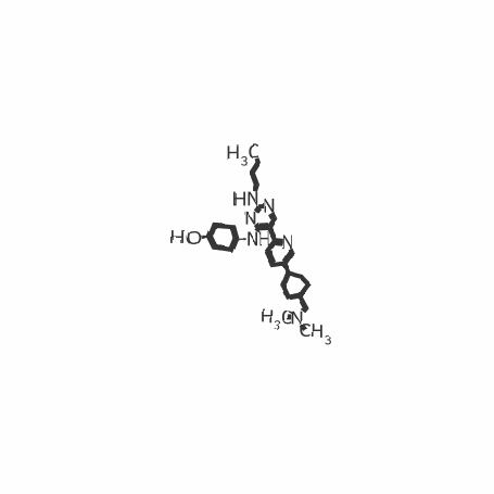 CCCCNc1ncc(-c2ccc(C3CCC(CN(C)C)CC3)cn2)c(N[C@H]2CC[C@H](O)CC2)n1